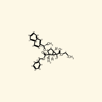 CCOC(=O)[C@@]1(F)[C@@H]2C[C@@H](O[C@H](C)c3ccc4ccccc4c3)[C@@](N)(C(=O)OCc3ccccc3)[C@@H]21